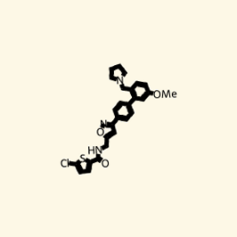 COc1ccc(CN2CCCC2)c(-c2ccc(-c3cc(CNC(=O)c4ccc(Cl)s4)on3)cc2)c1